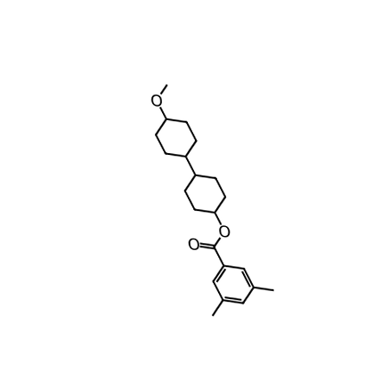 COC1CCC(C2CCC(OC(=O)c3cc(C)cc(C)c3)CC2)CC1